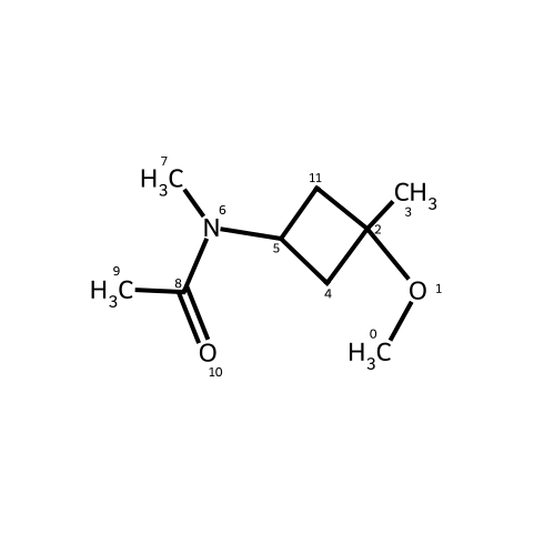 COC1(C)CC(N(C)C(C)=O)C1